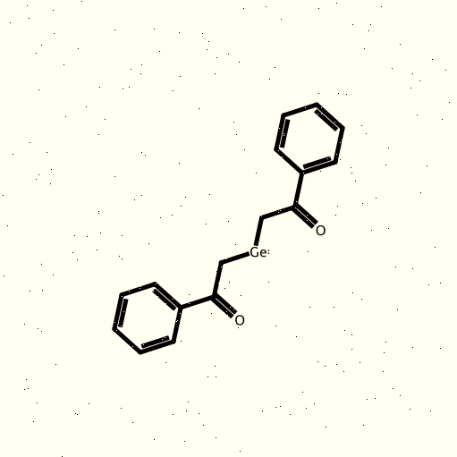 O=C([CH2][Ge][CH2]C(=O)c1ccccc1)c1ccccc1